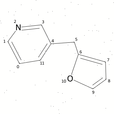 c1cncc(Cc2ccco2)c1